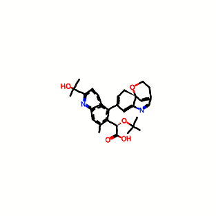 Cc1cc2nc(C(C)(C)O)ccc2c(C2=CC[C@@]34C=C(C=NC3=C2)CCO4)c1[C@H](OC(C)(C)C)C(=O)O